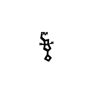 O=C(O)C=C1C[C@H]2CC(C3CCC3)=C[C@H]12